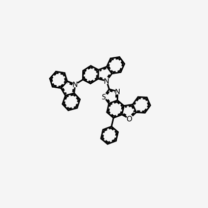 c1ccc(-c2cc3sc(-n4c5ccccc5c5ccc(-n6c7ccccc7c7ccccc76)cc54)nc3c3c2oc2ccccc23)cc1